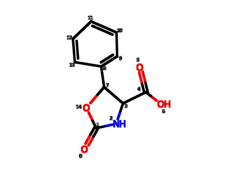 O=C1NC(C(=O)O)C(c2ccccc2)O1